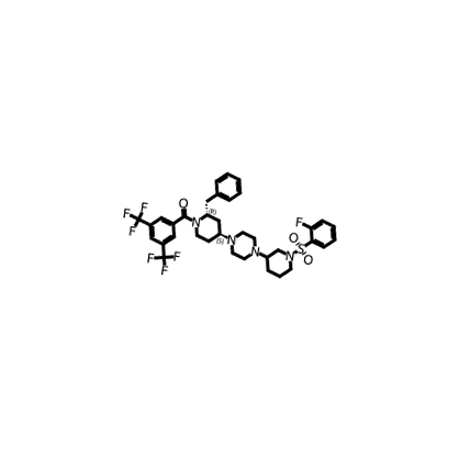 O=C(c1cc(C(F)(F)F)cc(C(F)(F)F)c1)N1CC[C@H](N2CCN(C3CCCN(S(=O)(=O)c4ccccc4F)C3)CC2)C[C@H]1Cc1ccccc1